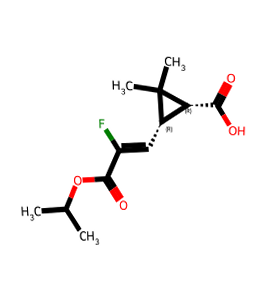 CC(C)OC(=O)C(F)=C[C@H]1[C@@H](C(=O)O)C1(C)C